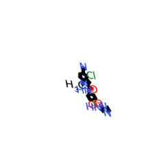 Cn1c(C(=O)Nc2ccc(S(=O)(=O)Nc3cnccn3)cc2)cc2c(Cl)c(C#N)ccc21